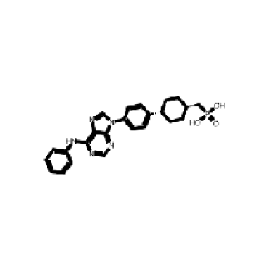 O=P(O)(O)C[C@H]1CC[C@H](c2ccc(-n3cnc4c(Nc5ccccc5)ncnc43)cc2)CC1